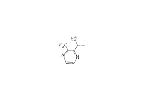 CC(O)c1nccnc1C(F)(F)F